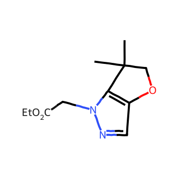 CCOC(=O)Cn1ncc2c1C(C)(C)CO2